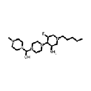 CCCCCN1CC(N)C(N2CCN(C(O)N3CCN(C)CC3)CC2)C(F)C1